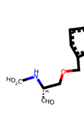 O=C[C@@H](COCc1ccccc1)NC(=O)O